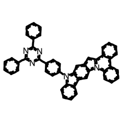 c1ccc(-c2nc(-c3ccccc3)nc(-c3ccc(-n4c5ccccc5c5cc6c(cc54)cc4c5ccccc5c5ccccc5n64)cc3)n2)cc1